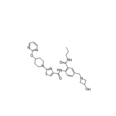 CCCNC(=O)c1cc(CN2CC(O)C2)ccc1NC(=O)c1csc(N2CCC(Oc3ncccn3)CC2)n1